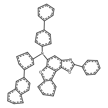 c1ccc(-c2ccc(N(c3cccc(-c4ccc5ccccc5c4)c3)c3cc4nc(-c5ccccc5)oc4c4c3oc3ccccc34)cc2)cc1